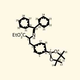 CCOC(=O)C(Cc1ccc(B2OC(C)(C)C(C)(C)O2)cc1)N=C(c1ccccc1)c1ccccc1